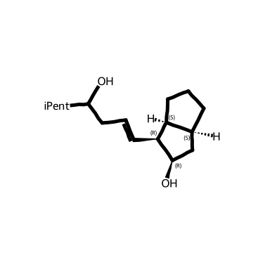 CCCC(C)C(O)CC=C[C@H]1[C@H]2CCC[C@H]2C[C@H]1O